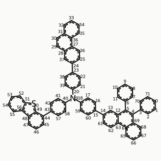 c1ccc(-c2c(-c3ccccc3)c3cc(-c4ccc(N(c5ccc(-c6ccc7c(ccc8ccccc87)c6)cc5)c5ccc(-c6cccc7c6sc6ccccc67)cc5)cc4)ccc3c3ccccc23)cc1